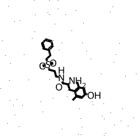 Cc1cc(O)cc(C)c1CC(N)C(=O)NCCCS(=O)(=O)CCc1ccccc1